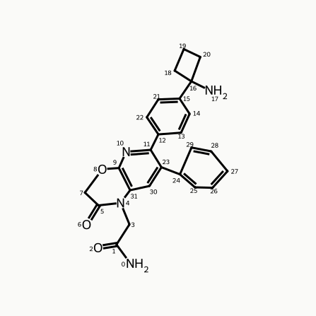 NC(=O)CN1C(=O)COc2nc(-c3ccc(C4(N)CCC4)cc3)c(-c3ccccc3)cc21